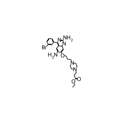 CCOC(=O)CCN1CCN(CCCOc2cc3nc(N)nc(-c4cccc(Br)c4)c3cc2N)CC1